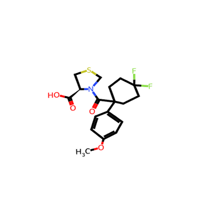 COc1ccc(C2(C(=O)N3CSC[C@@H]3C(=O)O)CCC(F)(F)CC2)cc1